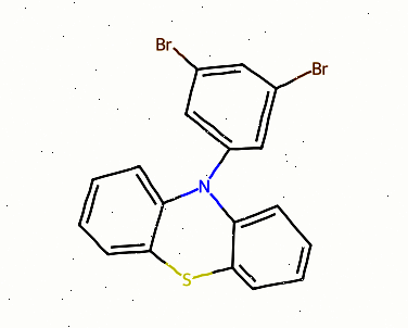 Brc1cc(Br)cc(N2c3ccccc3Sc3ccccc32)c1